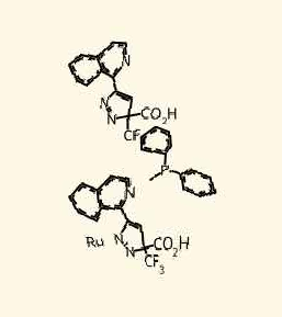 CP(c1ccccc1)c1ccccc1.O=C(O)C1(C(F)(F)F)C=C(c2nccc3ccccc23)N=N1.O=C(O)C1(C(F)(F)F)C=C(c2nccc3ccccc23)N=N1.[Ru]